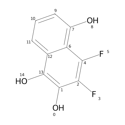 Oc1c(F)c(F)c2c(O)cccc2c1O